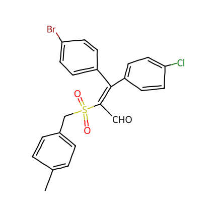 Cc1ccc(CS(=O)(=O)/C(C=O)=C(/c2ccc(Cl)cc2)c2ccc(Br)cc2)cc1